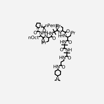 CCCCCCCCC(NC(=O)[C@@H]1CCCN1C(=O)CCCCC)C(=O)NC(CC(C)C)C(=O)NC(C)(C)C(=O)NC(CC(C)C)C(=O)NC(CC(C)C)C(=O)NC(C)(C)C(=O)NC(C)(C)C(=O)NCCC(=O)NC1CCC(N(C)C)CC1